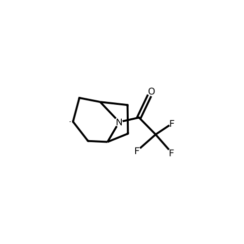 O=C(N1C2C[CH]CC1CC2)C(F)(F)F